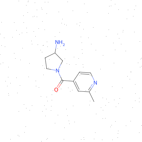 Cc1cc(C(=O)N2CCC(N)C2)ccn1